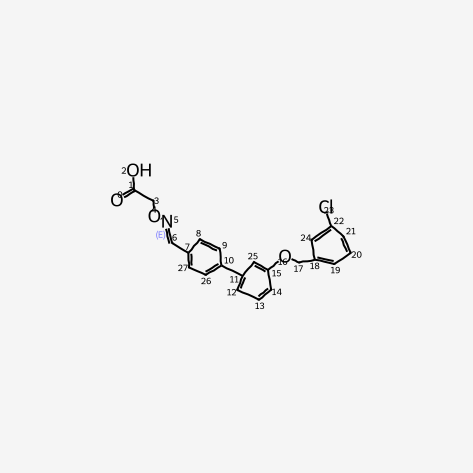 O=C(O)CO/N=C/c1ccc(-c2cccc(OCc3cccc(Cl)c3)c2)cc1